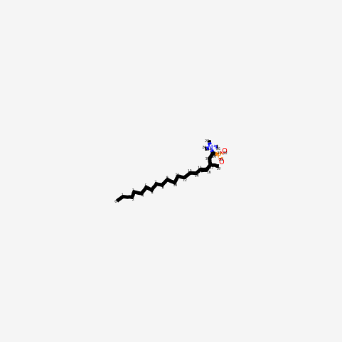 CCCCCCCCCCCCCCCC=CC(C)CC(P(=O)=O)[N+](C)(C)C